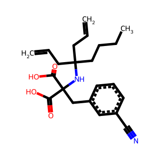 C=CCC(CC=C)(CCCC)NC(Cc1cccc(C#N)c1)(C(=O)O)C(=O)O